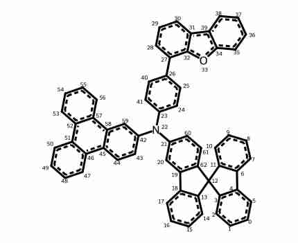 c1ccc2c(c1)-c1ccccc1C21c2ccccc2-c2cc(N(c3ccc(-c4cccc5c4oc4ccccc45)cc3)c3ccc4c5ccccc5c5ccccc5c4c3)ccc21